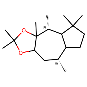 C[C@@H]1CC2OC(C)(C)OC2(C)[C@H](C)C2C1CCC2(C)C